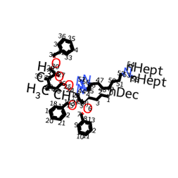 CCCCCCCCCCCCCC[C@@H](OCc1ccccc1)[C@@H](OCc1ccccc1)[C@H](COC1OC(COCc2ccccc2)C(C)C(C)C1C)n1cc(CCCCCCN(CCCCCCC)CCCCCCC)nn1